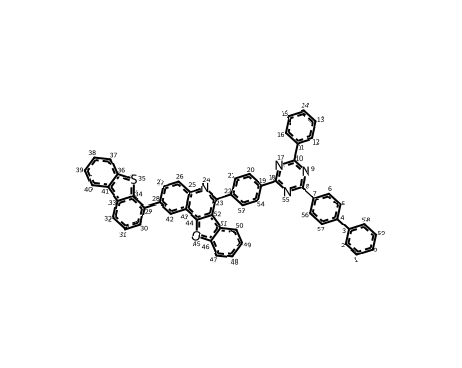 c1ccc(-c2ccc(-c3nc(-c4ccccc4)nc(-c4ccc(-c5nc6ccc(-c7cccc8c7sc7ccccc78)cc6c6oc7ccccc7c56)cc4)n3)cc2)cc1